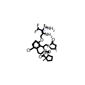 C[C@H]1CC(=O)N(CC2c3c(OC/C(N)=C(\C(F)F)N(C)N)ccc(Cl)c3CCN2C(=O)[C@@H]2CCC[C@]2(C)C(=O)O)C1